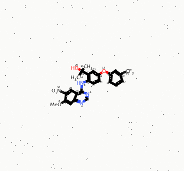 COc1cc2ncnc(Nc3ccc(Oc4cccc(C(F)(F)F)c4)cc3C(C)(C)O)c2cc1[N+](=O)[O-]